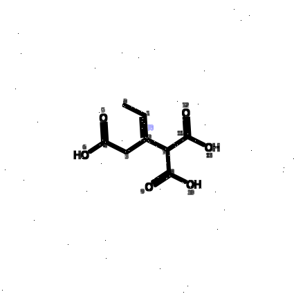 C/C=C(\CC(=O)O)C(C(=O)O)C(=O)O